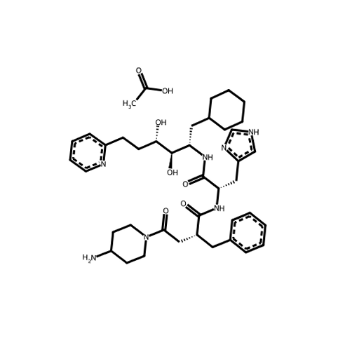 CC(=O)O.NC1CCN(C(=O)C[C@@H](Cc2ccccc2)C(=O)N[C@@H](Cc2c[nH]cn2)C(=O)N[C@@H](CC2CCCCC2)[C@@H](O)[C@@H](O)CCc2ccccn2)CC1